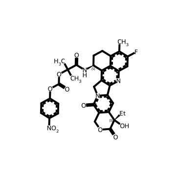 CC[C@@]1(O)C(=O)OCc2c1cc1n(c2=O)Cc2c-1nc1cc(F)c(C)c3c1c2[C@@H](NC(=O)C(C)(C)OC(=O)Oc1ccc([N+](=O)[O-])cc1)CC3